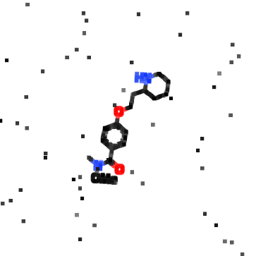 CON(C)C(=O)c1ccc(OCCC2CCCCN2)cc1